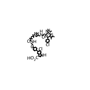 Cc1sc2c(c1C)C(c1ccc(Cl)cc1)=N[C@@H](CC(=O)NCc1cn(C(C)(C)CC(C)(C)C(=O)NCCOc3ccc(-c4cc5c(C(=O)O)c[nH]c5cc4Cl)cc3)nn1)c1nnc(C)n1-2